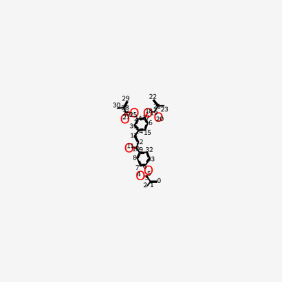 C=C(C)C(=O)Oc1ccc(C(=O)/C=C/c2ccc(OC(=O)C(=C)C)c(OC(=O)C(=C)C)c2)cc1